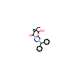 CCC1(C(=O)O)CC1C(=O)N1CCN(C(c2ccccc2)c2ccccc2)CC1